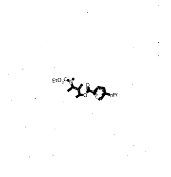 CCCc1ccc(C(=O)OC(C)C(C)C(C)N(C)C(=O)OCC)cc1